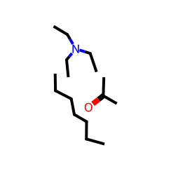 CC(C)=O.CCCCCCC.CCN(CC)CC